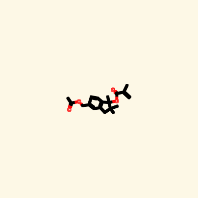 C=C(C)C(=O)OC1(C)c2ccc(COC(C)=O)cc2CC1(C)C